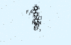 FC(F)(F)Cc1nnc2c(Cl)c(N3CCC(c4ccccc4C(F)(F)F)CC3)cnn12